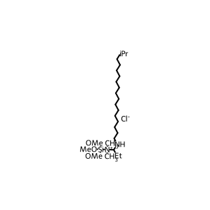 CCC(NCCCCCCCCCCCCCCCC(C)C)[N+](C)(C)[Si](OC)(OC)OC.[Cl-]